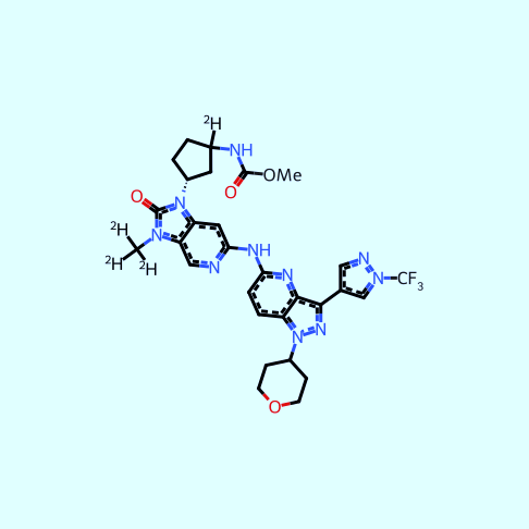 [2H]C1(NC(=O)OC)CC[C@@H](n2c(=O)n(C([2H])([2H])[2H])c3cnc(Nc4ccc5c(n4)c(-c4cnn(C(F)(F)F)c4)nn5C4CCOCC4)cc32)C1